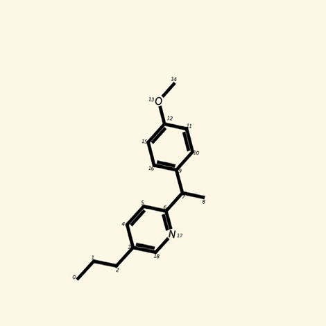 CCCc1ccc(C(C)c2ccc(OC)cc2)nc1